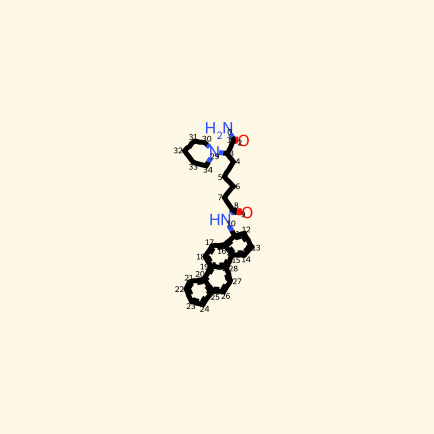 NC(=O)C(CCCCC(=O)Nc1cccc2c1ccc1c3ccccc3ccc21)N1CCCCC1